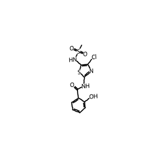 CS(=O)(=O)Nc1sc(NC(=O)c2ccccc2O)nc1Cl